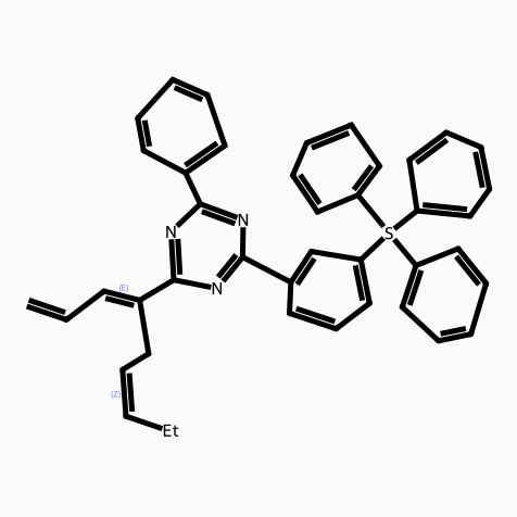 C=C/C=C(\C/C=C\CC)c1nc(-c2ccccc2)nc(-c2cccc(S(c3ccccc3)(c3ccccc3)c3ccccc3)c2)n1